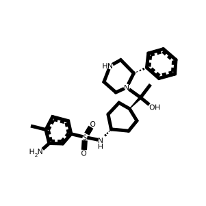 Cc1ccc(S(=O)(=O)N[C@H]2CC[C@H](C(C)(O)N3CCNC[C@@H]3c3ccccc3)CC2)cc1N